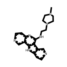 CN1CCN(CCNc2nc3ccncc3c3[nH]c4ccncc4c23)CC1